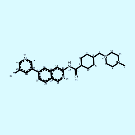 CN1CCN(CC2CCC(C(=O)Nc3cc4cc(-c5cncc(F)c5)ccc4cn3)CC2)CC1